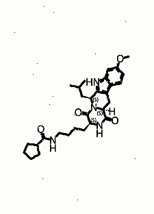 COc1ccc2c3c([nH]c2c1)[C@H](CC(C)C)N1C(=O)[C@H](CCCCNC(=O)C2CCCC2)NC(=O)[C@@H]1C3